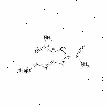 CCCCCCCCC=C1C=C(C(N)=O)OC1C(N)=O